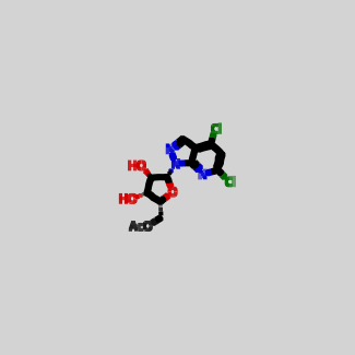 CC(=O)OC[C@H]1O[C@@H](n2ncc3c(Cl)cc(Cl)nc32)[C@H](O)[C@H]1O